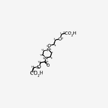 O=C(O)COCCON1CCN(C(=O)COCC(=O)O)CC1